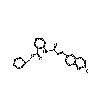 O=C(/C=C/c1ccc2nc(Cl)ccc2c1)Nc1ccccc1C(=O)OCc1ccccc1